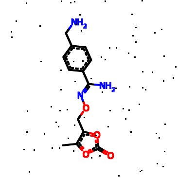 Cc1oc(=O)oc1CO/N=C(\N)c1ccc(CN)cc1